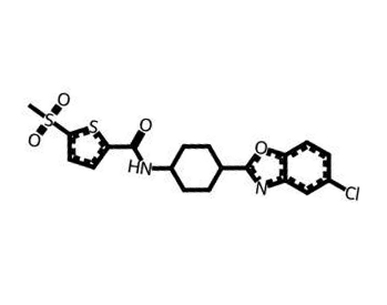 CS(=O)(=O)c1ccc(C(=O)NC2CCC(c3nc4cc(Cl)ccc4o3)CC2)s1